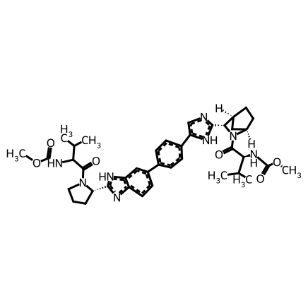 COC(=O)NC(C(=O)N1CCC[C@H]1c1nc2ccc(-c3ccc(-c4cnc([C@@H]5[C@H]6CC[C@H](C6)N5C(=O)[C@@H](NC(=O)OC)C(C)C)[nH]4)cc3)cc2[nH]1)C(C)C